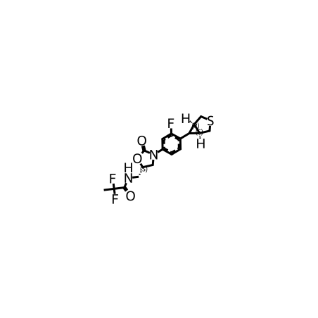 CC(F)(F)C(=O)NC[C@H]1CN(c2ccc(C3[C@H]4CSC[C@@H]34)c(F)c2)C(=O)O1